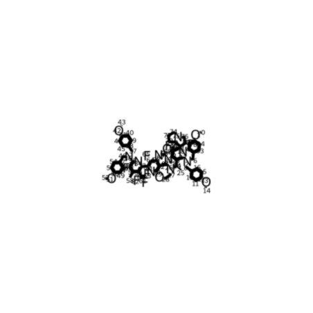 COc1ccc(CN(Cc2ccc(OC)cc2)c2ncc(F)cc2[C@@H](C)N2CCOc3nc(-c4nc(N(Cc5ccc(OC)cc5)Cc5ccc(OC)cc5)c(F)c(C)c4C(F)(F)F)c(F)c4nc(OC[C@@]56CCCN5C[C@H](F)C6)nc2c34)cc1